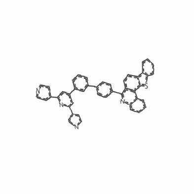 c1cc(-c2ccc(-c3nc4ccccc4c4c3ccc3c5ccccc5sc34)cc2)cc(-c2cc(-c3ccncc3)nc(-c3ccncc3)c2)c1